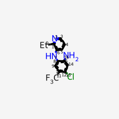 CCc1ncccc1Nc1cc(C(F)(F)F)c(Cl)cc1N